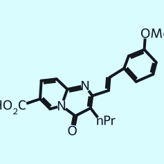 CCCc1c(C=Cc2cccc(OC)c2)nc2ccc(C(=O)O)cn2c1=O